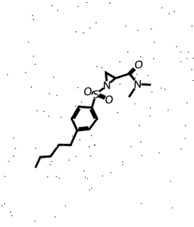 CCCCCc1ccc(S(=O)(=O)N2CC2C(=O)N(C)C)cc1